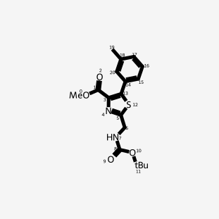 COC(=O)c1nc(CNC(=O)OC(C)(C)C)sc1-c1cccc(C)c1